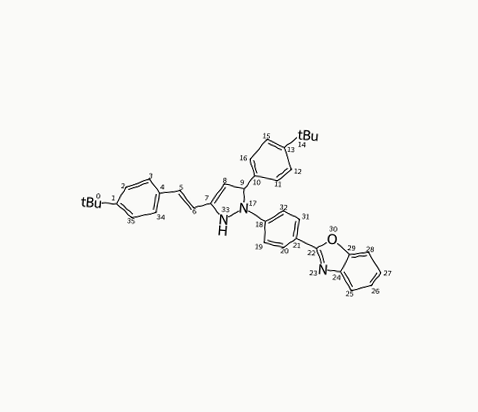 CC(C)(C)c1ccc(C=CC2=CC(c3ccc(C(C)(C)C)cc3)N(c3ccc(-c4nc5ccccc5o4)cc3)N2)cc1